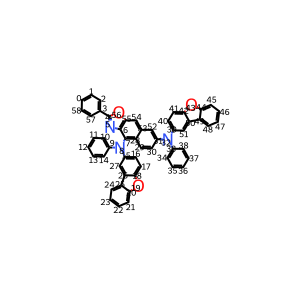 c1ccc(-c2nc3c(N(c4ccccc4)c4ccc5oc6ccccc6c5c4)c4ccc(N(c5ccccc5)c5ccc6oc7ccccc7c6c5)cc4cc3o2)cc1